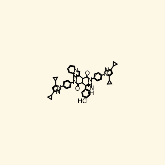 Cl.O=C(Nc1ccc(-n2nc(C3CC3)cc2C2CC2)cc1)C(c1cn2ccccc2n1)C(C(=O)Nc1ccc(-n2nc(C3CC3)cc2C2CC2)cc1)c1c[nH]c2ccccc12